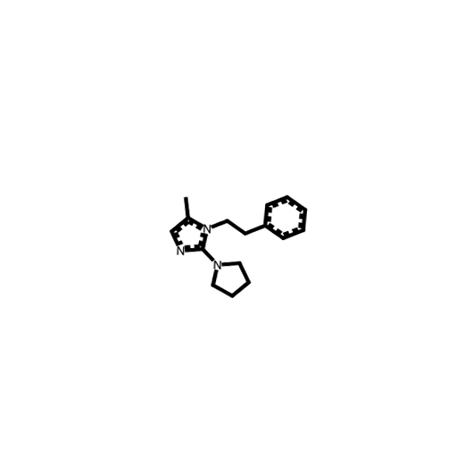 Cc1cnc(N2CCCC2)n1CCc1ccccc1